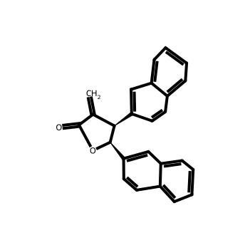 C=C1C(=O)O[C@H](c2ccc3ccccc3c2)[C@@H]1c1ccc2ccccc2c1